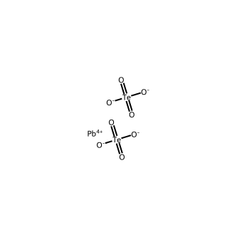 O=[Te](=O)([O-])[O-].O=[Te](=O)([O-])[O-].[Pb+4]